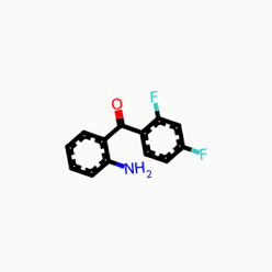 Nc1ccccc1C(=O)c1ccc(F)cc1F